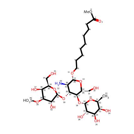 COC(=O)CCCCCCCCO[C@@H]1O[C@H](CO)[C@@H](O[C@@H]2O[C@@H](C)[C@@H](O)[C@@H](O)[C@@H]2O)[C@H](O[C@@H]2O[C@H](CO)[C@H](O)[C@H](OS(=O)(=O)O)[C@H]2O)[C@H]1N